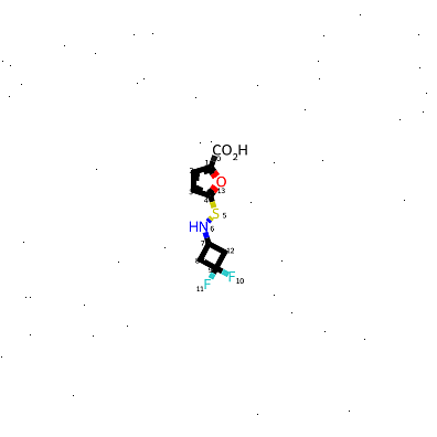 O=C(O)c1ccc(SNC2CC(F)(F)C2)o1